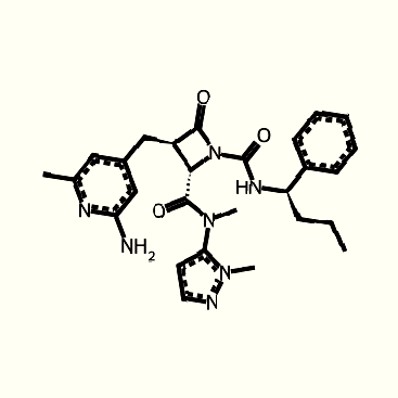 CCC[C@@H](NC(=O)N1C(=O)[C@H](Cc2cc(C)nc(N)c2)[C@H]1C(=O)N(C)c1ccnn1C)c1ccccc1